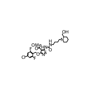 COC(=O)c1c(OCc2c(F)cc(Cl)cc2F)nsc1NC(=O)NCCCCN1CCCCC1CO